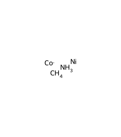 C.N.[Co].[Ni]